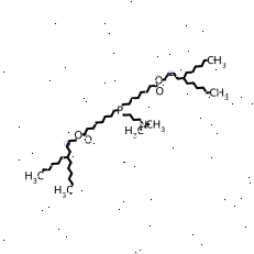 CCCCCCC(C/C=C\COC(=O)CCCCCCCP(CCCCCCCC(=O)OC/C=C\CC(CCCCCC)CCCCCC)CCCCN(C)C)CCCCCC